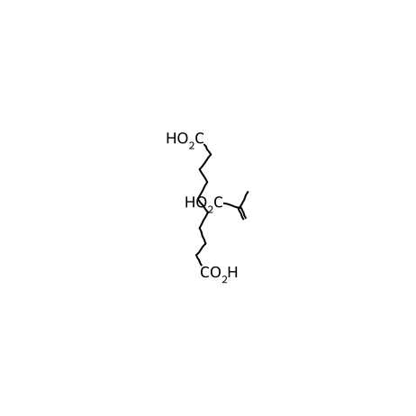 C=C(C)C(=O)O.O=C(O)CCCCCCCCC(=O)O